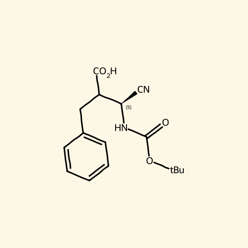 CC(C)(C)OC(=O)N[C@H](C#N)C(Cc1ccccc1)C(=O)O